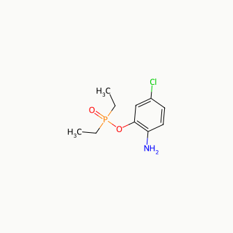 CCP(=O)(CC)Oc1cc(Cl)ccc1N